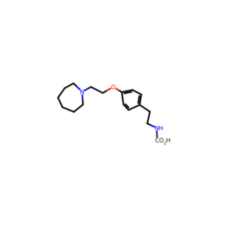 O=C(O)NCCc1ccc(OCCN2CCCCCC2)cc1